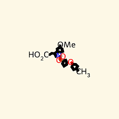 COc1ccc2c(c1)c(CCC(=O)O)cn2S(=O)(=O)c1cccc(Oc2ccc(C)cc2)c1